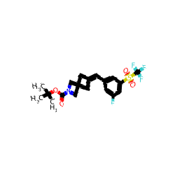 CC(C)(C)OC(=O)N1CC2(CC(=Cc3cc(F)cc(S(=O)(=O)C(F)(F)F)c3)C2)C1